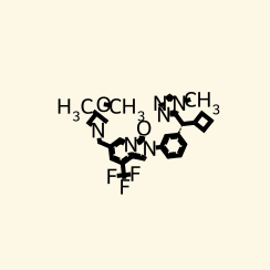 COC1(C)CN(Cc2cc(C(F)(F)F)c3cn(-c4cccc([C@H](c5nncn5C)C5CCC5)c4)c(=O)n3c2)C1